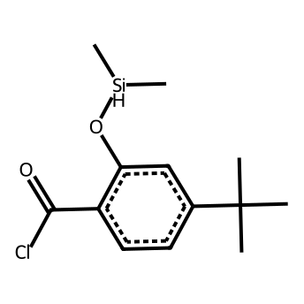 C[SiH](C)Oc1cc(C(C)(C)C)ccc1C(=O)Cl